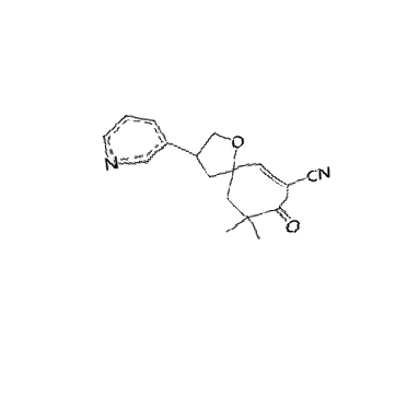 CC1(C)CC2(C=C(C#N)C1=O)CC(c1cccnc1)CO2